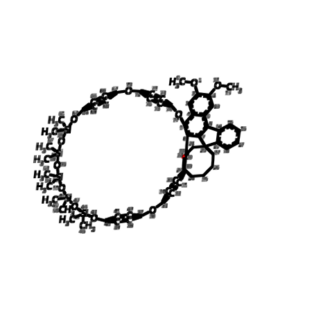 COc1cc2c3c(c4c(c2cc1OC)-c1ccccc1C41CCCCCCC1)/C=C\c1ccc(cc1)Oc1ccc(cc1)O[Si](C)(C)O[Si](C)(C)O[Si](C)(C)O[Si](C)(C)O[Si](C)(C)Oc1ccc(cc1)Oc1ccc(cc1)O3